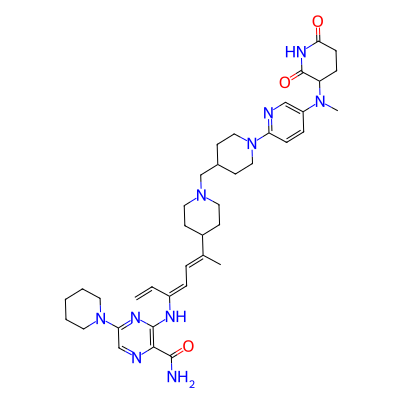 C=C/C(=C\C=C(/C)C1CCN(CC2CCN(c3ccc(N(C)C4CCC(=O)NC4=O)cn3)CC2)CC1)Nc1nc(N2CCCCC2)cnc1C(N)=O